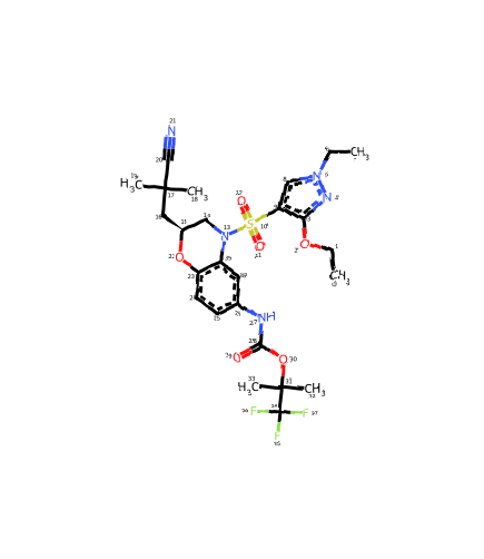 CCOc1nn(CC)cc1S(=O)(=O)N1C[C@H](CC(C)(C)C#N)Oc2ccc(NC(=O)OC(C)(C)C(F)(F)F)cc21